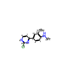 CC(C)Nc1ccc(-c2ccnc(Cl)n2)cc1C(C)(C)C